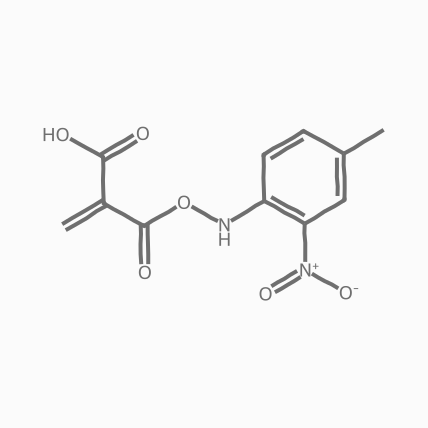 C=C(C(=O)O)C(=O)ONc1ccc(C)cc1[N+](=O)[O-]